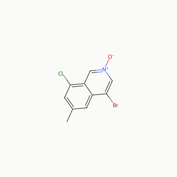 Cc1cc(Cl)c2c[n+]([O-])cc(Br)c2c1